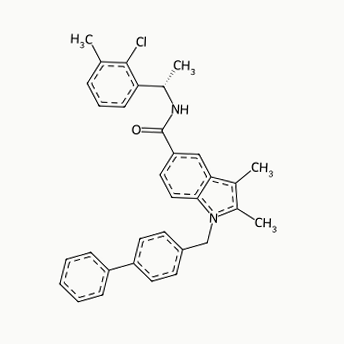 Cc1cccc([C@H](C)NC(=O)c2ccc3c(c2)c(C)c(C)n3Cc2ccc(-c3ccccc3)cc2)c1Cl